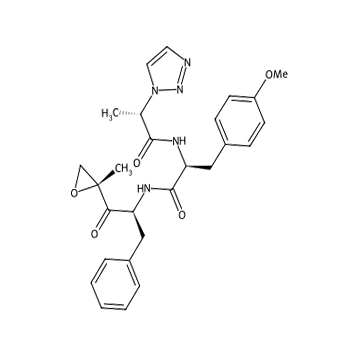 COc1ccc(C[C@H](NC(=O)[C@H](C)n2ccnn2)C(=O)N[C@@H](Cc2ccccc2)C(=O)[C@@]2(C)CO2)cc1